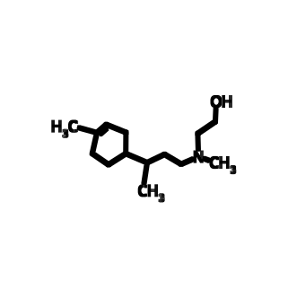 CC1=CCC(C(C)CCN(C)CCO)CC1